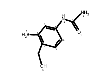 Bc1cc(NC(N)=O)ccc1CO